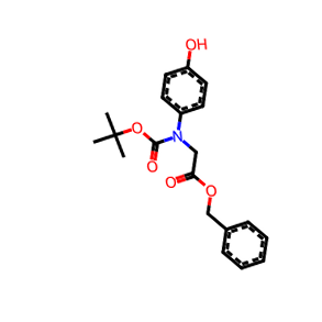 CC(C)(C)OC(=O)N(CC(=O)OCc1ccccc1)c1ccc(O)cc1